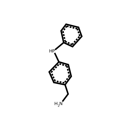 NCc1ccc(Pc2ccccc2)cc1